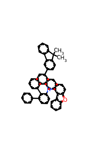 CC1(C)c2ccccc2-c2cc(-c3cccc(N(c4cccc(-c5ccccc5)c4-c4ccccc4-c4ccccc4)c4cccc5oc6ccccc6c45)c3)ccc21